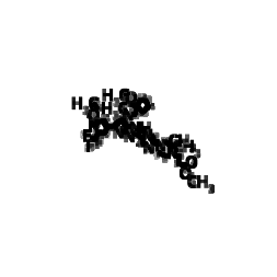 CCOC(=O)CCN1CCN(c2cnc(-c3nc4nc(-c5cc(OCC)nc(C(F)(F)F)c5)cc(N(C)CC5(COC)CCCC5)c4[nH]3)cn2)CC1(C)C